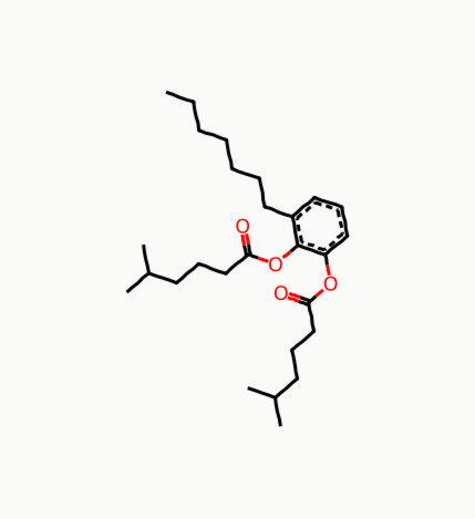 CCCCCCCc1cccc(OC(=O)CCCC(C)C)c1OC(=O)CCCC(C)C